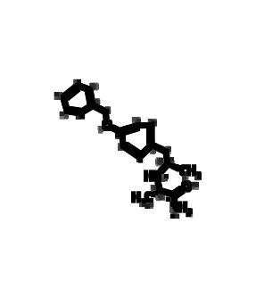 C[C@H](Cc1ccc(OCc2ccccc2)cc1)N[C@@H](C)C(N)=O